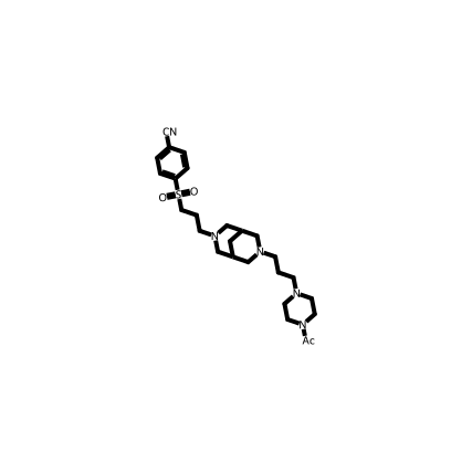 CC(=O)N1CCN(CCCN2CC3CC(C2)CN(CCCS(=O)(=O)c2ccc(C#N)cc2)C3)CC1